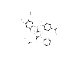 CC(=O)O.CCOc1cc(C(Nc2ccc(C(=N)N)cc2)c2nn(-c3ncccn3)c(=O)[nH]2)c(F)cc1OC